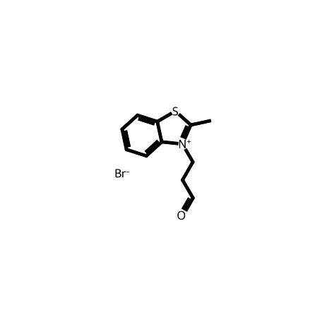 Cc1sc2ccccc2[n+]1CCC=O.[Br-]